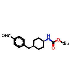 CC(C)(C)OC(=O)N[C@H]1CC[C@@H](Cc2ccc(C=O)cc2)CC1